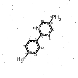 Pc1ccc(-c2ncc(P)cn2)cc1